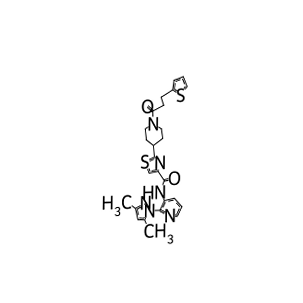 Cc1cc(C)n(-c2ncccc2NC(=O)c2csc(C3CCN(C(=O)CCc4cccs4)CC3)n2)n1